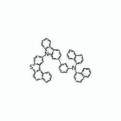 c1cc(-c2ccc3c4ccccc4n(-c4ccc5sc6ccc7ccccc7c6c5c4)c3c2)cc(N(c2cccc3ccccc23)c2cccc3ccccc23)c1